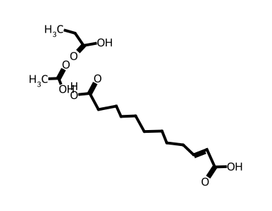 CC(=O)O.CCC(=O)O.O=C(O)C=CCCCCCCCCC(=O)O